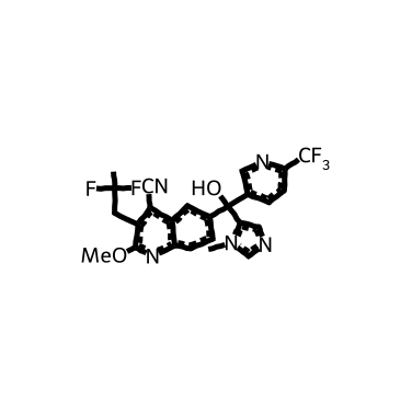 COc1nc2ccc(C(O)(c3ccc(C(F)(F)F)nc3)c3cncn3C)cc2c(C#N)c1CC(C)(F)F